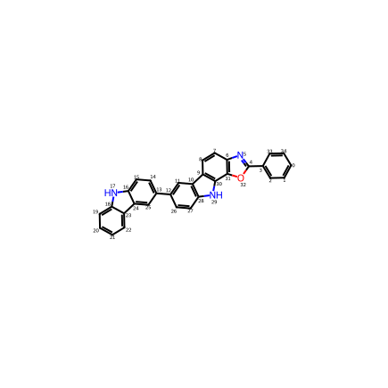 c1ccc(-c2nc3ccc4c5cc(-c6ccc7[nH]c8ccccc8c7c6)ccc5[nH]c4c3o2)cc1